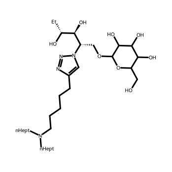 CCCCCCCN(CCCCCCC)CCCCCc1cn([C@@H](COC2OC(CO)C(O)C(O)C2O)[C@H](O)[C@H](O)CC)nn1